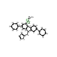 C1=CCC(CC2c3cc(-c4ccccc4)ccc3-c3ccc(-c4ccccc4)cc32)=C1.[Cl-].[Cl-].[Zr+2]